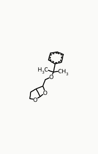 CC(C)(OCC1OC2OCCC12)c1ccccc1